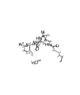 C=CCCCC(=O)NC[C@@]12C[C@@H](C(=O)Nc3nc(Br)ccc3C)N[C@@H]1C2.Cl